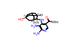 CNC(=O)c1cnc(N)c(N)c1N[C@H]1[C@@H]2CC3C[C@H]1C[C@@](O)(C3)C2